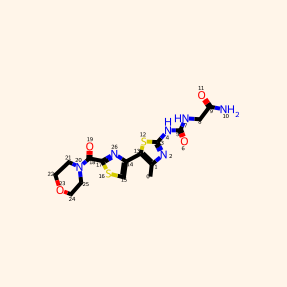 Cc1nc(NC(=O)NCC(N)=O)sc1-c1csc(C(=O)N2CCOCC2)n1